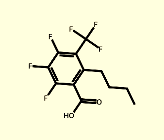 CCCCc1c(C(=O)O)c(F)c(F)c(F)c1C(F)(F)F